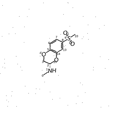 CN[C@@H]1COc2ccc(S(C)(=O)=O)cc2O1